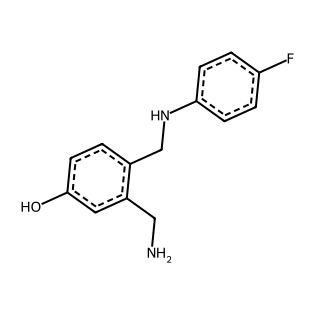 NCc1cc(O)ccc1CNc1ccc(F)cc1